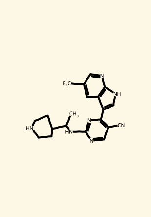 CC(Nc1ncc(C#N)c(-c2c[nH]c3ncc(C(F)(F)F)cc23)n1)C1CCNCC1